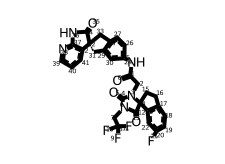 O=C(CN1C(=O)N(CC(F)(F)F)C(=O)C12CCc1ccc(F)cc12)Nc1ccc2c(c1)C[C@@]1(C2)C(=O)Nc2ncccc21